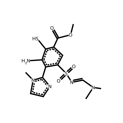 COC(=O)c1cc(S(=O)(=O)/N=C/N(C)C)c(-c2nccn2C)c(N)c1S